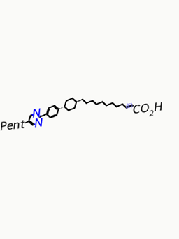 CCCCCc1cnc(-c2ccc([C@H]3CC[C@H](CCCCCCCCC/C=C/C(=O)O)CC3)cc2)nc1